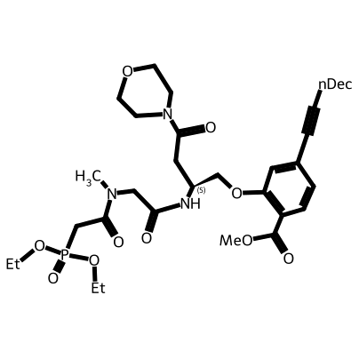 CCCCCCCCCCC#Cc1ccc(C(=O)OC)c(OC[C@H](CC(=O)N2CCOCC2)NC(=O)CN(C)C(=O)CP(=O)(OCC)OCC)c1